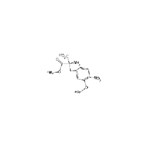 CCCCOC(=O)C(N)(Cc1ccc([N+](=O)[O-])c(OCCC)c1)C(=O)O